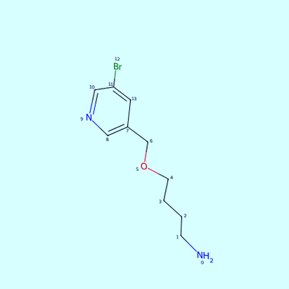 NCCCCOCc1cncc(Br)c1